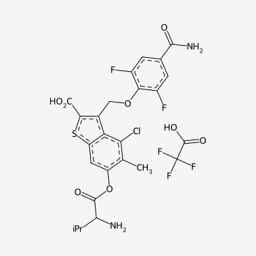 Cc1c(OC(=O)C(N)C(C)C)cc2sc(C(=O)O)c(COc3c(F)cc(C(N)=O)cc3F)c2c1Cl.O=C(O)C(F)(F)F